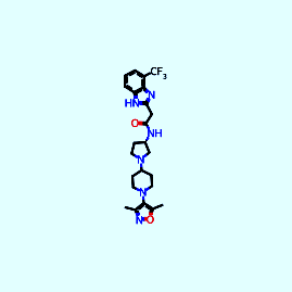 Cc1noc(C)c1N1CCC(N2CC[C@@H](NC(=O)Cc3nc4c(C(F)(F)F)cccc4[nH]3)C2)CC1